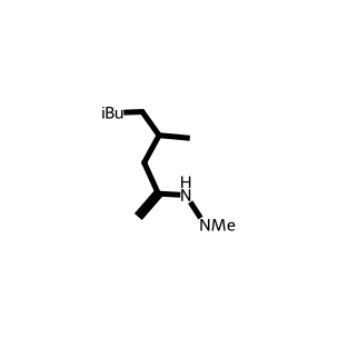 C=C(CC(C)CC(C)CC)NNC